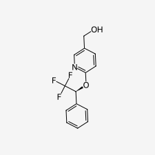 OCc1ccc(O[C@@H](c2ccccc2)C(F)(F)F)nc1